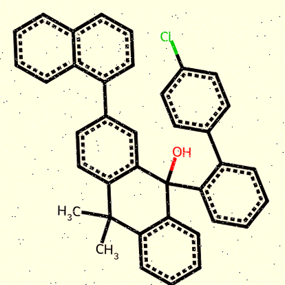 CC1(C)c2ccccc2C(O)(c2ccccc2-c2ccc(Cl)cc2)c2cc(-c3cccc4ccccc34)ccc21